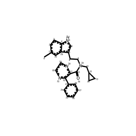 Cc1ccc2[nH]cc(CCN(CC3CC3)C(=O)c3nccnc3-c3ccccc3)c2c1